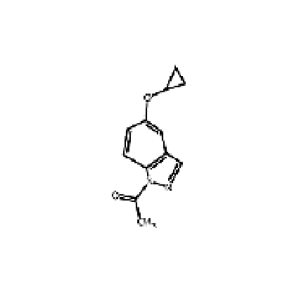 CC(=O)n1ncc2cc(OC3CC3)ccc21